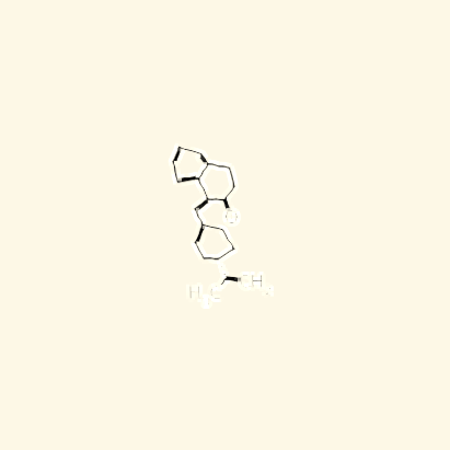 C=C(C)[C@@H]1CC=C(C=C2C(=O)CCc3ccccc32)CC1